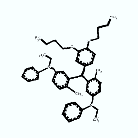 CCCCOc1ccc(C(c2cc(N(CC)c3ccccc3)ccc2C)c2cc(N(CC)c3ccccc3)ccc2C)cc1OCCCC